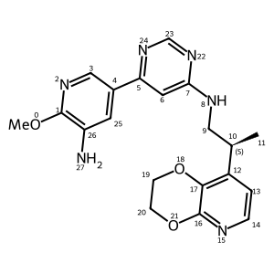 COc1ncc(-c2cc(NC[C@@H](C)c3ccnc4c3OCCO4)ncn2)cc1N